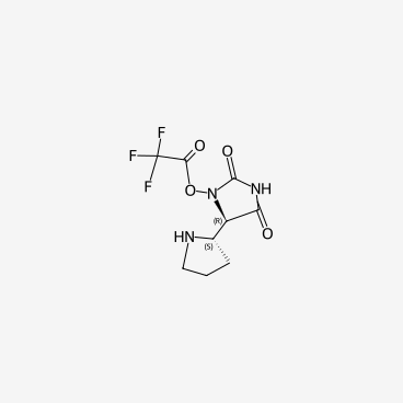 O=C1NC(=O)N(OC(=O)C(F)(F)F)[C@@H]1[C@@H]1CCCN1